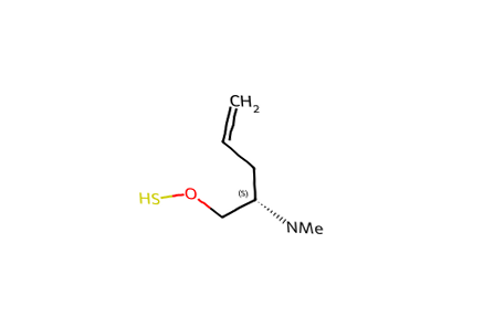 C=CC[C@@H](COS)NC